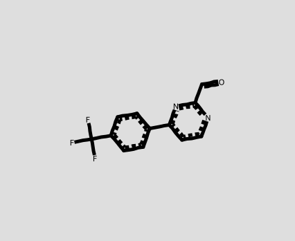 O=Cc1nccc(-c2ccc(C(F)(F)F)cc2)n1